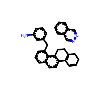 Nc1cccc(Cc2cccc3ccc4c(c23)CCC2=C4C=CCC2)c1.c1ccc2cnncc2c1